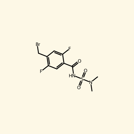 CN(C)S(=O)(=O)NC(=O)c1cc(F)c(CBr)cc1F